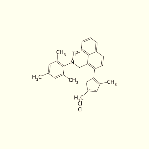 CC1=CC(C)=C(c2ccc3ccccc3c2C[N]([Ti+2])c2c(C)cc(C)cc2C)C1.[Cl-].[Cl-]